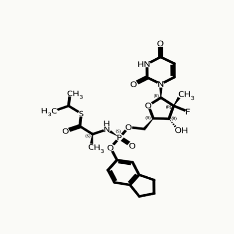 CC(C)SC(=O)[C@H](C)N[P@](=O)(OC[C@H]1O[C@@H](n2ccc(=O)[nH]c2=O)[C@](C)(F)[C@@H]1O)Oc1ccc2c(c1)CCC2